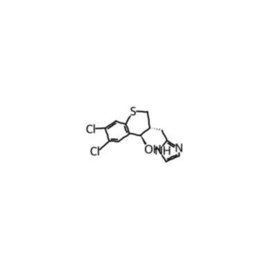 O[C@H]1c2cc(Cl)c(Cl)cc2SC[C@@H]1Cc1ncc[nH]1